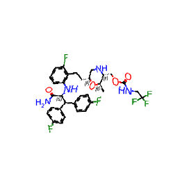 C[C@H]1O[C@H](CCc2c(F)cccc2N[C@H](C(N)=O)C(c2ccc(F)cc2)c2ccc(F)cc2)CN[C@@H]1COC(=O)NCC(F)(F)F